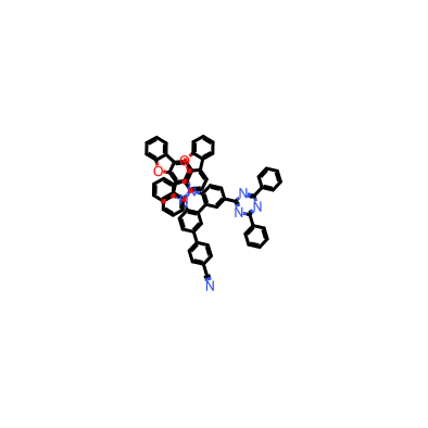 N#Cc1ccc(-c2ccc(-n3c4ccccc4c4c5oc6ccccc6c5ccc43)c(-c3cc(-c4nc(-c5ccccc5)nc(-c5ccccc5)n4)ccc3-n3c4ccccc4c4c5oc6ccccc6c5ccc43)c2)cc1